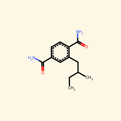 CCC(C)Cc1cc(C(N)=O)ccc1C(N)=O